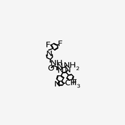 Cc1ccnc2ccc(-c3c(-c4ccc(F)cc4)nc(N)c4nc(C(=O)NCC5CCN(Cc6ccc(F)cc6F)CC5)cn34)cc12